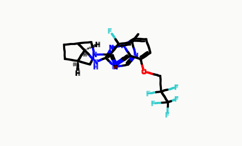 Cc1ncnc(N2CC3CC[C@@H](C2)[C@@H]3Nc2nc3c(OCC(F)(F)C(F)(F)F)cccn3n2)c1F